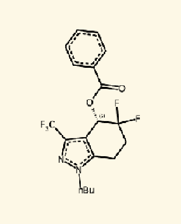 CCCCn1nc(C(F)(F)F)c2c1CCC(F)(F)[C@H]2OC(=O)c1ccccc1